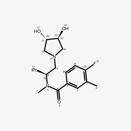 Cc1cc(C(=O)N(C)[C@H](CN2C[C@H](O)[C@@H](O)C2)C(C)C)ccc1F